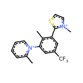 Cc1c(-c2scc[n+]2C)cc(C(F)(F)F)cc1-[n+]1ccccc1C